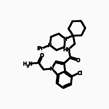 CC(C)N1CCN(C2(CNC(=O)c3cn(CC(N)=O)c4cccc(Cl)c34)CCCCC2)CC1